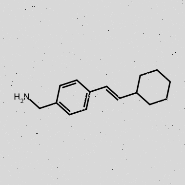 NCc1ccc(C=CC2CCCCC2)cc1